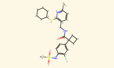 CS(=O)(=O)Nc1ccc(C2(C(=O)NCc3ccc(C(F)(F)F)nc3SC3CCCCC3)CCC2)cc1F